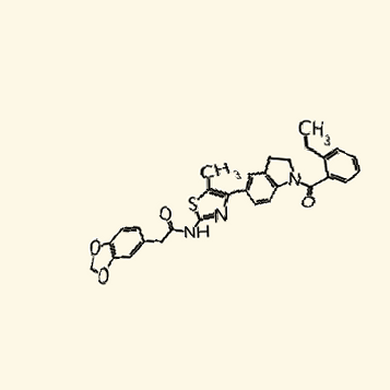 CCc1ccccc1C(=O)N1CCc2cc(-c3nc(NC(=O)Cc4ccc5c(c4)OCO5)sc3C)ccc21